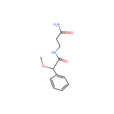 COC(C(=O)NCCC(N)=O)c1ccccc1